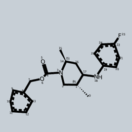 C[C@@H]1CN(C(=O)OCc2ccccc2)[C@@H](C)CC1Nc1ccc(F)cc1